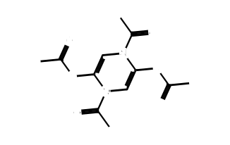 CC(=O)SC1=CN(C(C)=O)C(SC(C)=O)=CN1C(C)=O